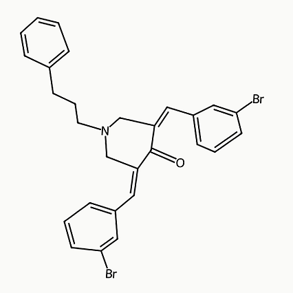 O=C1C(=Cc2cccc(Br)c2)CN(CCCc2ccccc2)CC1=Cc1cccc(Br)c1